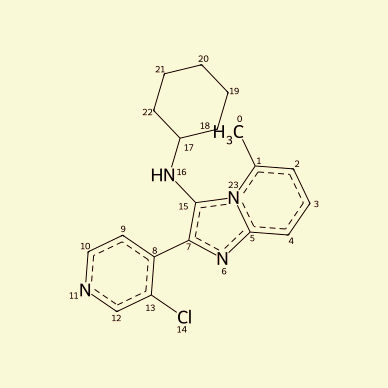 Cc1cccc2nc(-c3ccncc3Cl)c(NC3CCCCC3)n12